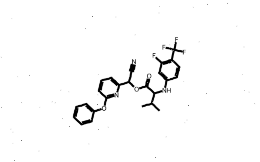 CC(C)C(Nc1ccc(C(F)(F)F)c(F)c1)C(=O)OC(C#N)c1cccc(Oc2ccccc2)n1